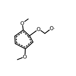 COc1ccc(OC)c(OC[O])c1